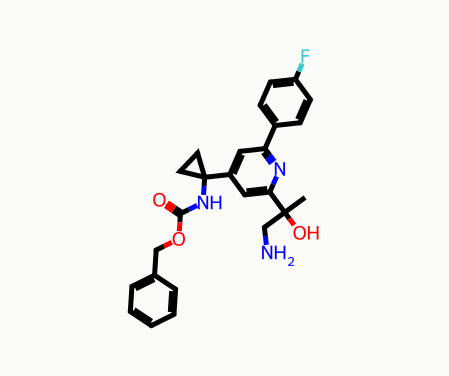 CC(O)(CN)c1cc(C2(NC(=O)OCc3ccccc3)CC2)cc(-c2ccc(F)cc2)n1